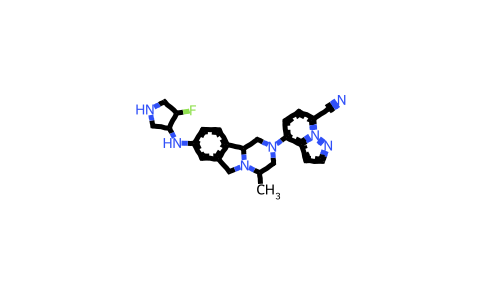 CC1CN(c2ccc(C#N)n3nccc23)CC2c3ccc(NC4CNCC4F)cc3CN12